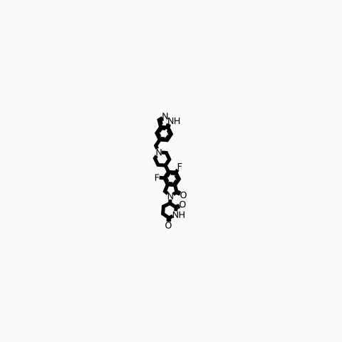 O=C1CCC(N2Cc3c(cc(F)c(C4CCN(Cc5ccc6[nH]ncc6c5)CC4)c3F)C2=O)C(=O)N1